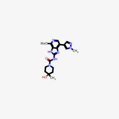 COc1ncc(-c2cnn(C)c2)c2nc(NC(=O)N3CCC(C)(O)CC3)[nH]c12